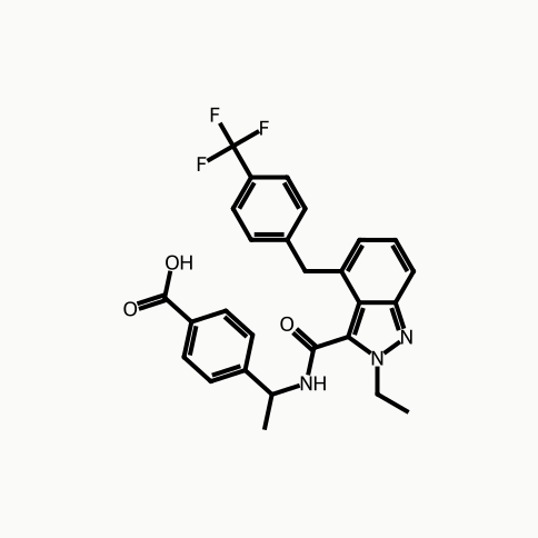 CCn1nc2cccc(Cc3ccc(C(F)(F)F)cc3)c2c1C(=O)NC(C)c1ccc(C(=O)O)cc1